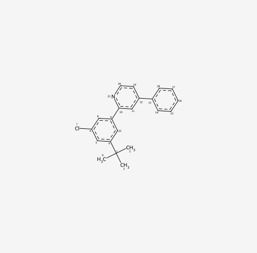 CC(C)(C)c1cc(Cl)cc(-c2cc(-c3ccccc3)ccn2)c1